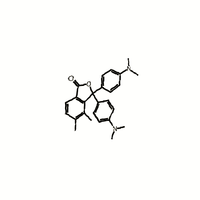 Cc1ccc2c(c1C)C(c1ccc(N(C)C)cc1)(c1ccc(N(C)C)cc1)OC2=O